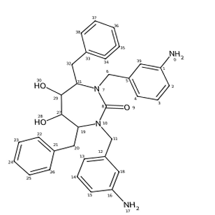 Nc1cccc(CN2C(=O)N(Cc3cccc(N)c3)C(Cc3ccccc3)C(O)C(O)C2CC2=C=C=CC=C2)c1